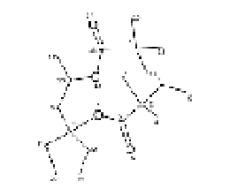 CCC(C)(C)C(=O)OC1(CC(C)OC(=O)C(C)(C)C)CCCC1